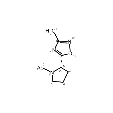 CC(=O)N1CCC[C@H]1c1nc(C)no1